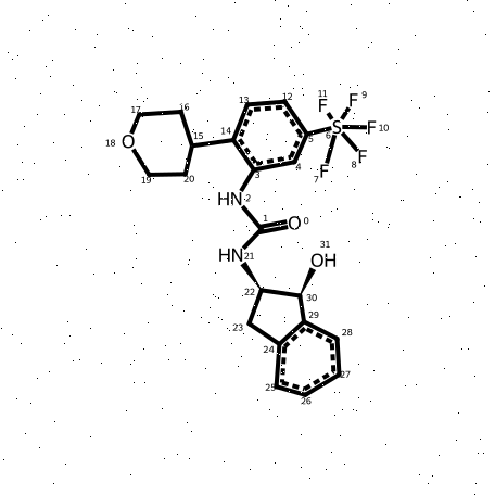 O=C(Nc1cc(S(F)(F)(F)(F)F)ccc1C1CCOCC1)N[C@@H]1Cc2ccccc2[C@@H]1O